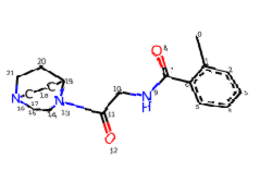 Cc1ccccc1C(=O)NCC(=O)N1CCN2CCC1CC2